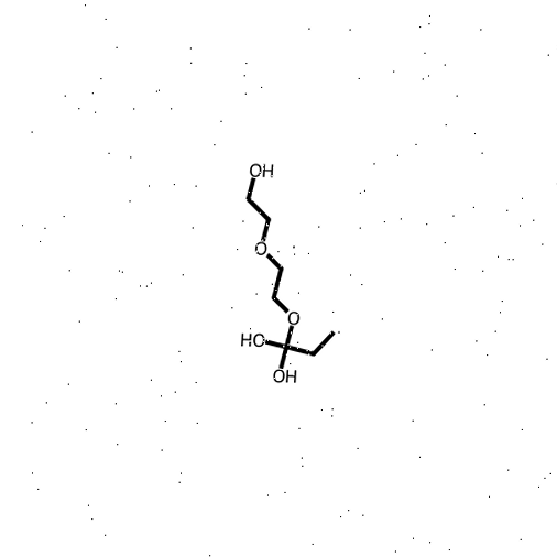 [CH2]CC(O)(O)OCCOCCO